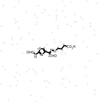 O=[C]C(=NOCCCC(=O)O)c1csc(NC=O)n1